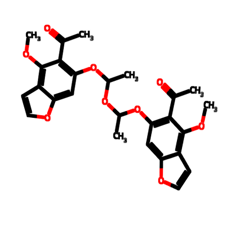 COc1c(C(C)=O)c(OC(C)OC(C)Oc2cc3occc3c(OC)c2C(C)=O)cc2occc12